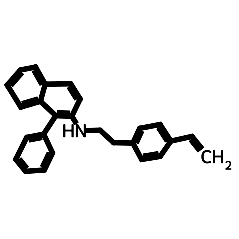 C=Cc1ccc(CCNc2ccc3ccccc3c2-c2ccccc2)cc1